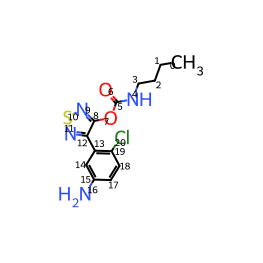 CCCCNC(=O)Oc1nsnc1-c1cc(N)ccc1Cl